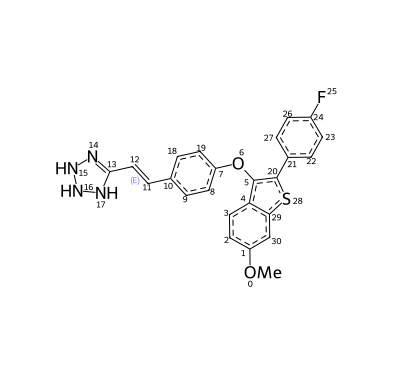 COc1ccc2c(Oc3ccc(/C=C/C4=NNNN4)cc3)c(-c3ccc(F)cc3)sc2c1